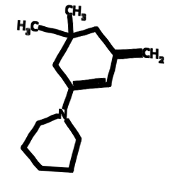 C=C1C=C(N2CCCCC2)CC(C)(C)C1